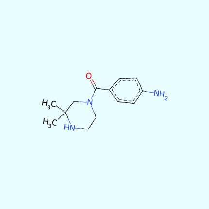 CC1(C)CN(C(=O)c2ccc(N)cc2)CCN1